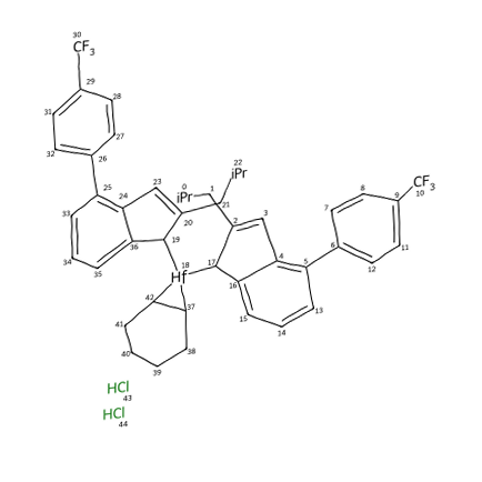 CC(C)CC1=Cc2c(-c3ccc(C(F)(F)F)cc3)cccc2[CH]1[Hf]1([CH]2C(CC(C)C)=Cc3c(-c4ccc(C(F)(F)F)cc4)cccc32)[CH]2CCCC[CH]21.Cl.Cl